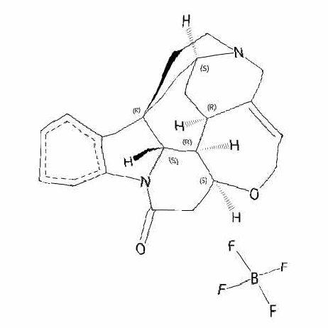 F[B-](F)(F)F.O=C1C[C@@H]2OCC=C3CN4CC[C@]56c7ccccc7N1[C@H]5[C@H]2[C@H]3C[C@H]46